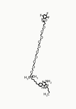 CCCCc1nc2c(N)nc3cc(CCCCC[N+](C)(C)CCOCCOCCOCCOCCOCCOCCOCCOCCOCCOCCC(=O)Oc4c(F)c(F)cc(F)c4F)ccc3c2[nH]1